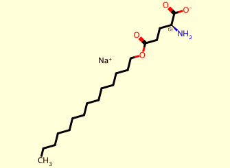 CCCCCCCCCCCCCCOC(=O)CC[C@H](N)C(=O)[O-].[Na+]